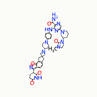 CN1CCN([C@@H]2CCCN(c3cnc(C(N)=O)c(Nc4ccc(N5CCC(N6CC7(Cc8ccc9c(C%10CCC(=O)NC%10=O)noc9c8C7)C6)CC5)cc4)n3)C2)C1=O